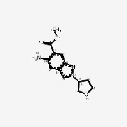 COC(=O)c1cc2nn([C@H]3CCOC3)cc2cc1N